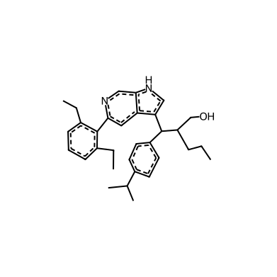 CCCC(CO)C(c1ccc(C(C)C)cc1)c1c[nH]c2cnc(-c3c(CC)cccc3CC)cc12